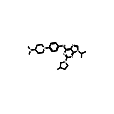 CC(C)n1cnc2c(Nc3ccc(N4CCC(N(C)C)CC4)cc3)nc(N3CCC(F)C3)nc21